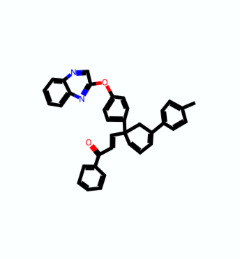 Cc1ccc(C2=CC=CC(/C=C/C(=O)c3ccccc3)(c3ccc(Oc4cnc5ccccc5n4)cc3)C2)cc1